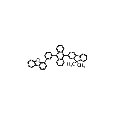 CC1(C)c2ccccc2-c2ccc(-c3c4ccccc4c(-c4cccc(-c5cccc6c5oc5ccccc56)c4)c4ccccc34)cc21